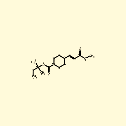 CCC(C)(C)OC(=O)N1CCC(/C=C/C(=O)OC)CC1